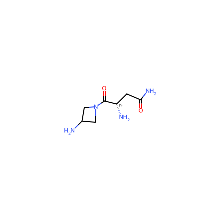 NC(=O)C[C@H](N)C(=O)N1CC(N)C1